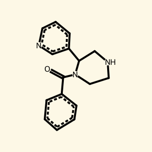 O=C(c1ccccc1)N1CCNCC1c1cccnc1